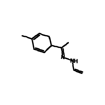 C=CN/N=C(\C)C1C=CC(C)=CC1